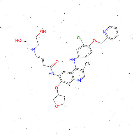 N#Cc1cnc2cc(O[C@H]3CCOC3)c(NC(=O)/C=C/CN(CCO)CCO)cc2c1Nc1ccc(OCc2ccccn2)c(Cl)c1